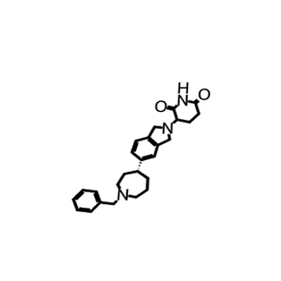 O=C1CCC(N2Cc3ccc([C@@H]4CCCN(Cc5ccccc5)CC4)cc3C2)C(=O)N1